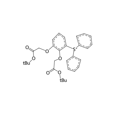 CC(C)(C)OC(=O)COc1cccc([S+](c2ccccc2)c2ccccc2)c1OCC(=O)OC(C)(C)C